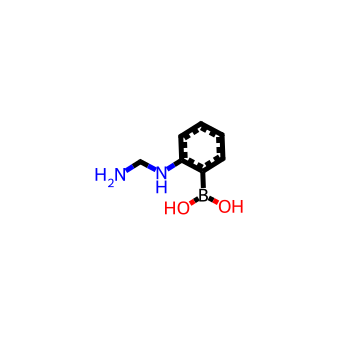 NCNc1ccccc1B(O)O